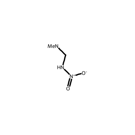 CNCN[N+](=O)[O-]